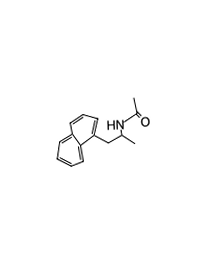 CC(=O)NC(C)Cc1cccc2ccccc12